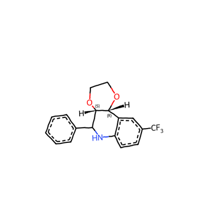 FC(F)(F)c1ccc2c(c1)[C@H]1OCCO[C@H]1C(c1ccccc1)N2